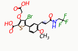 COc1ccc(-c2sc(C(=O)O)c(OCC(=O)O)c2Br)cc1/C=C/C(=O)NCC(F)(F)F